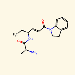 C[C@H](N)C(=O)N[C@H](/C=C/C(=O)N1CCc2ccccc21)CC(F)(F)F